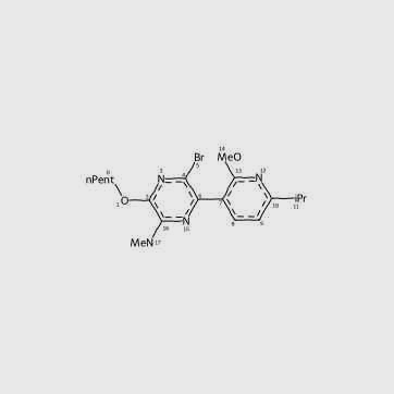 CCCCCOc1nc(Br)c(-c2ccc(C(C)C)nc2OC)nc1NC